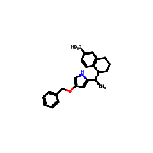 CC(c1cc(OCc2ccccc2)c[nH]1)C1CCCc2cc(C(=O)O)ccc21